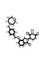 O=C1CCC(N2Cc3c(OCc4ccc(CN5CCCOCC5)cc4)cccc3C2=O)C(=O)N1